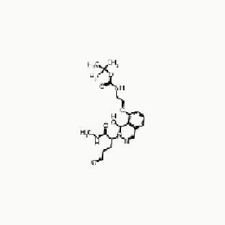 CNC(=O)C(CCC=O)N1N=Cc2cccc(OCCNC(=O)OC(C)(C)C)c2C1O